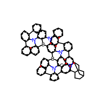 c1ccc(-c2cccc(-c3ccccc3)c2N2c3ccccc3B3c4cc5c(cc4N(c4ccccc4)c4cccc2c43)N(c2c(-c3ccccc3)cccc2-c2ccccc2)c2cc(N3CC4CCC6CC4CC3C6)cc3c2B5c2ccccc2N3c2c(-c3ccccc3)cccc2-c2ccccc2)cc1